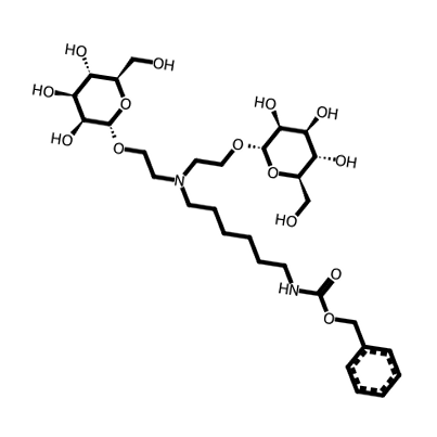 O=C(NCCCCCCN(CCO[C@H]1O[C@H](CO)[C@@H](O)[C@H](O)[C@@H]1O)CCO[C@H]1O[C@H](CO)[C@@H](O)[C@H](O)[C@@H]1O)OCc1ccccc1